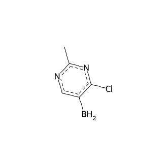 Bc1cnc(C)nc1Cl